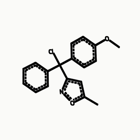 COc1ccc(C(Cl)(c2ccccc2)c2cc(C)on2)cc1